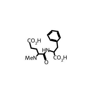 CNC(CCC(=O)O)C(=O)NC(Cc1ccccc1)C(=O)O